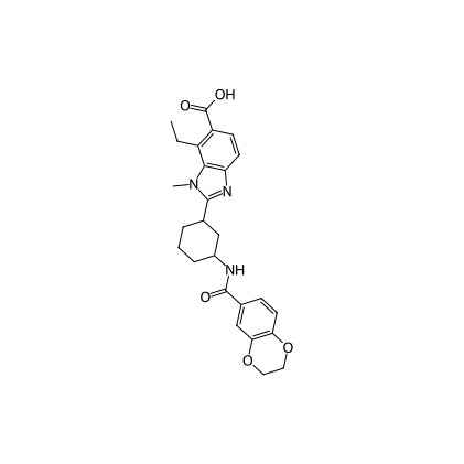 CCc1c(C(=O)O)ccc2nc(C3CCCC(NC(=O)c4ccc5c(c4)OCCO5)C3)n(C)c12